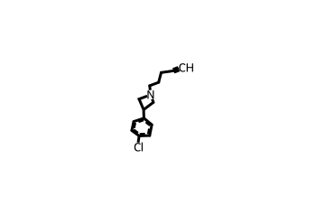 C#CCCCN1CC(c2ccc(Cl)cc2)C1